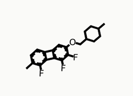 Cc1ccc2c(c1F)-c1c-2cc(OCC2CCC(C)CC2)c(F)c1F